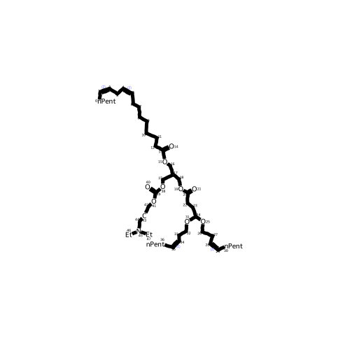 CCCCC/C=C\C/C=C\CCCCCCCC(=O)OCC(COC(=O)CCC(OCC/C=C\CCCCC)OCC/C=C\CCCCC)COC(=O)OCCCN(CC)CC